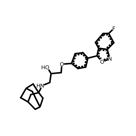 OC(CNC12CC3CC(CC(C3)C1)C2)COc1ccc(-c2onc3cc(F)ccc23)cc1